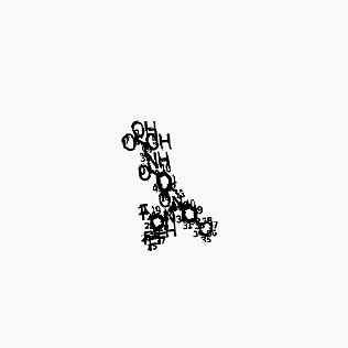 O=C(NC[C@@H](O)C(=O)O)c1ccc(CN(C(=O)Nc2cc(F)cc(C(F)(F)F)c2)c2ccc(C3CCCCC3)cc2)cc1